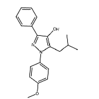 COc1ccc(-n2nc(-c3ccccc3)c(O)c2CC(C)C)cc1